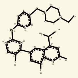 CCN1CCN(Cc2ccc(Nc3ncc(F)c(-c4cc(F)c5nc(C)cc(C(F)F)c5c4)n3)nc2)CC1